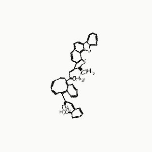 C=C(/C=c1/ccccc1=C)c1ccccccc(C(=C)/C=c2\c(=C)sc3c2ccc2ccc4c5ccccc5oc4c23)c2ccccc12